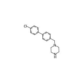 Clc1ccc(-c2ccc(CN3CCNCC3)cc2)cc1